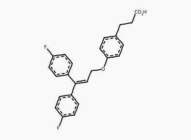 O=C(O)CCc1ccc(OCC=C(c2ccc(F)cc2)c2ccc(F)cc2)cc1